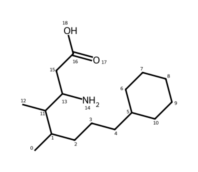 CC(CCCC1CCCCC1)C(C)C(N)CC(=O)O